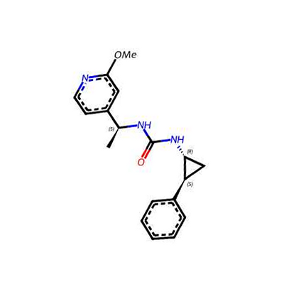 COc1cc([C@H](C)NC(=O)N[C@@H]2C[C@H]2c2ccccc2)ccn1